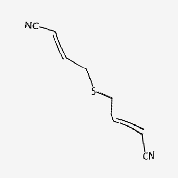 N#CC=CCSCC=CC#N